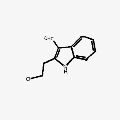 O=Cc1c(CCCl)[nH]c2ccccc12